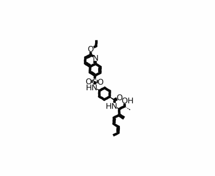 C=C(/C=C\C=C/C)[C@H](NC(=O)[C@H]1CC[C@H](NS(=O)(=O)c2ccc3nc(OCC)ccc3c2)CC1)[C@@H](C)O